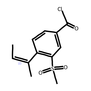 C/C=C(/C)c1ccc(C(=O)Cl)cc1S(C)(=O)=O